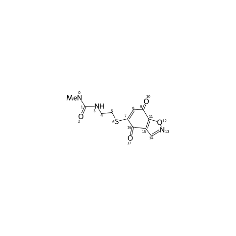 CNC(=O)NCCSC1=CC(=O)c2oncc2C1=O